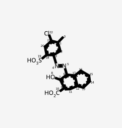 Cc1cc(N=Nc2c(O)c(C(=O)O)cc3ccccc23)c(S(=O)(=O)O)cc1Cl